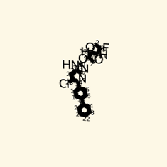 F[C@H]1CO[C@H]2[C@@H]1OC[C@H]2Oc1nc2nc(-c3ccc(-c4ccccc4)cc3)c(Cl)cc2[nH]1